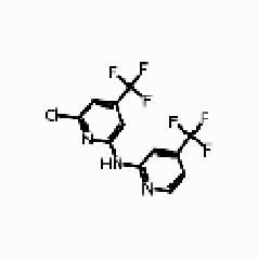 FC(F)(F)c1ccnc(Nc2cc(C(F)(F)F)cc(Cl)n2)c1